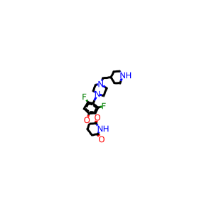 O=C1CCC(Oc2cc(F)c(N3CCN(CC4CCNCC4)CC3)c(F)c2)C(=O)N1